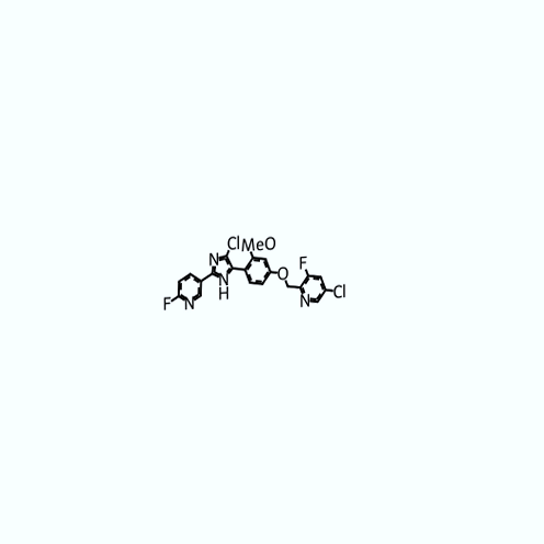 COc1cc(OCc2ncc(Cl)cc2F)ccc1-c1[nH]c(-c2ccc(F)nc2)nc1Cl